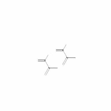 C=C(C)C(=O)O.C=C(C)C(=O)O.Cl.[Cr]